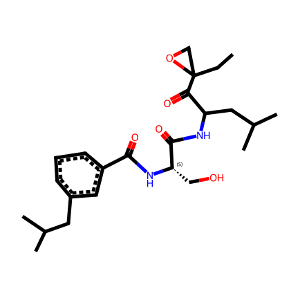 CCC1(C(=O)C(CC(C)C)NC(=O)[C@H](CO)NC(=O)c2cccc(CC(C)C)c2)CO1